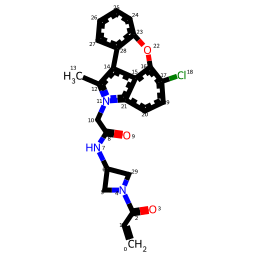 C=CC(=O)N1CC(NC(=O)Cn2c(C)c3c4c(c(Cl)ccc42)Oc2ccccc2-3)C1